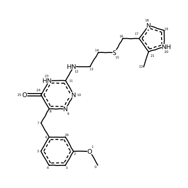 COc1cccc(Cc2nnc(NCCSCc3nc[nH]c3C)[nH]c2=O)c1